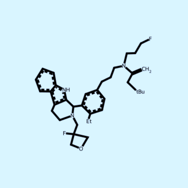 C=C(CC(C)(C)C)N(CCCF)CCCc1ccc(CC)c(C2c3[nH]c4ccccc4c3CCN2CC2(F)COC2)c1